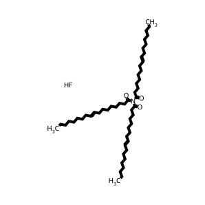 CCCCCCCCC=CCCCCCCCC(=O)N(C(=O)CCCCCCCC=CCCCCCCCC)C(=O)CCCCCCCC=CCCCCCCCC.F